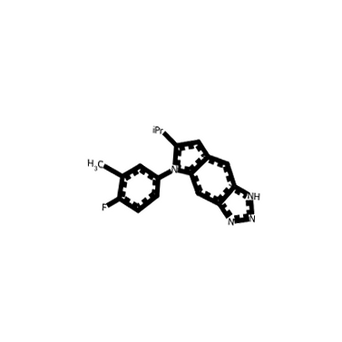 Cc1cc(-n2c(C(C)C)cc3cc4[nH]nnc4cc32)ccc1F